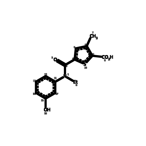 CCN(C(=O)c1cc(C)c(C(=O)O)s1)c1cccc(O)c1